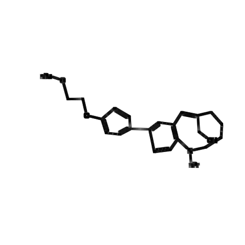 CCCCOCCOc1ccc(-c2ccc3c(c2)/C=C(\CO)CCCCN3CCC)cc1